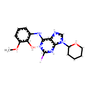 COc1cccc(Nc2nc(I)nc3c2ncn3C2CCCCO2)c1O